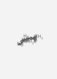 COc1cc(N2CCC(c3nc(C(=O)Nc4nc5ccc(C(=O)c6ccsc6)cc5[nH]4)cs3)CC2)cc(OC)n1